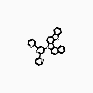 c1ccc(-c2cc(-n3c4ccc5ccccc5c4c4c5sc6ccccc6c5ccc43)cc(-c3ccccn3)n2)nc1